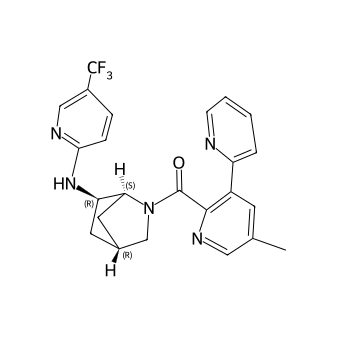 Cc1cnc(C(=O)N2C[C@@H]3C[C@@H](Nc4ccc(C(F)(F)F)cn4)[C@@H]2C3)c(-c2ccccn2)c1